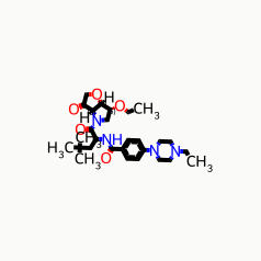 CCO[C@H]1CN(C(=O)C(CC(C)(C)C)NC(=O)c2ccc(N3CCN(CC)CC3)cc2)[C@@H]2C(=O)CO[C@H]12